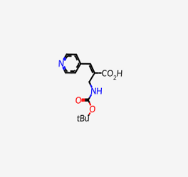 CC(C)(C)OC(=O)NC/C(=C\c1ccncc1)C(=O)O